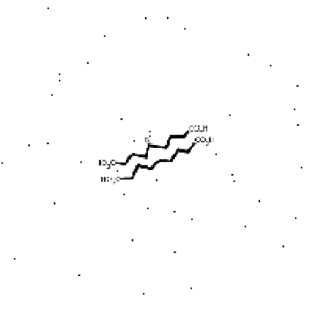 O=C(O)CCCCCCCC(=O)O.O=C(O)CCCCCCCC(=O)O.[B]